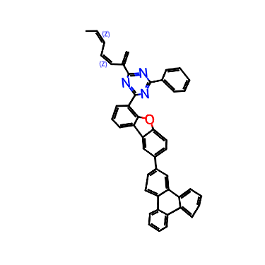 C=C(/C=C\C=C/C)c1nc(-c2ccccc2)nc(-c2cccc3c2oc2ccc(-c4ccc5c6ccccc6c6ccccc6c5c4)cc23)n1